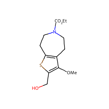 CCOC(=O)N1CCc2sc(CO)c(OC)c2CC1